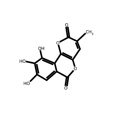 Cc1cc2oc(=O)c3cc(O)c(O)c(O)c3c2oc1=O